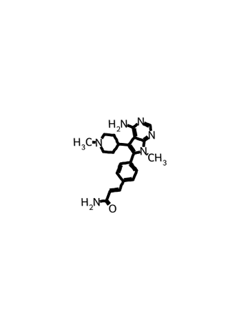 CN1CCC(c2c(-c3ccc(C=CC(N)=O)cc3)n(C)c3ncnc(N)c23)CC1